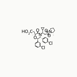 C[C@H]1CCCN1S(=O)(=O)C[C@H](C1CC1)N1C(=O)[C@](C)(CC(=O)O)O[C@H](c2cccc(Cl)c2)[C@H]1c1ccc(Cl)cc1